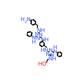 Nc1ccc(CCNc2nc(Nc3ccccc3)nc(Nc3cccc(CNc4nc(NCCO)nc(Nc5ccccc5)n4)c3)n2)cc1